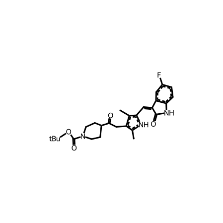 Cc1[nH]c(/C=C2\C(=O)Nc3ccc(F)cc32)c(C)c1CC(=O)C1CCN(C(=O)OC(C)(C)C)CC1